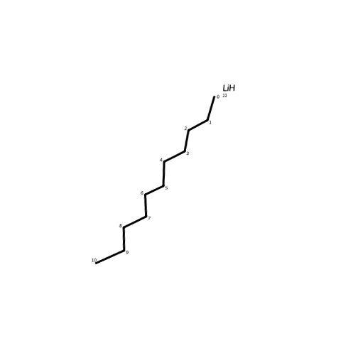 CCCCCCCCCCC.[LiH]